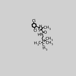 Cc1nc(-c2cc(Cl)ccc2Cl)sc1C(=O)NCCN(C(C)C)C(C)C